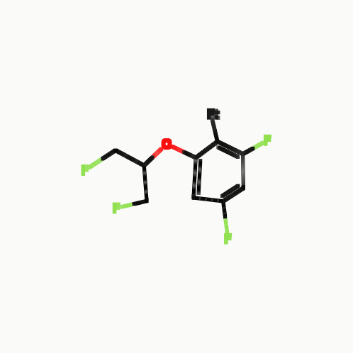 CCc1c(F)cc(F)cc1OC(CF)CF